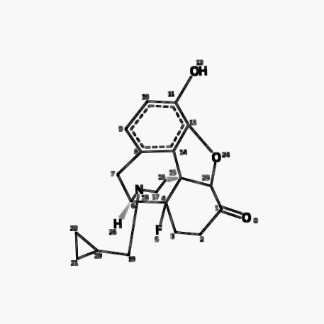 O=C1CCC2(F)[C@H]3Cc4ccc(O)c5c4[C@@]2(CCN3CC2CC2)C1O5